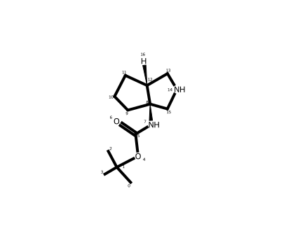 CC(C)(C)OC(=O)N[C@@]12CCC[C@@H]1CNC2